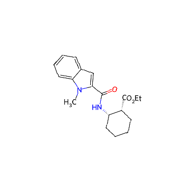 CCOC(=O)[C@@H]1CCCC[C@@H]1NC(=O)c1cc2ccccc2n1C